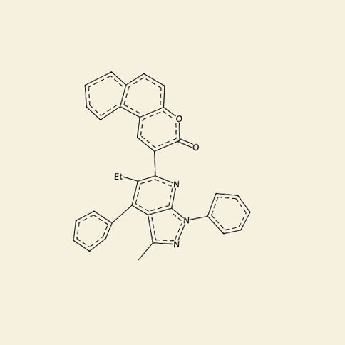 CCc1c(-c2cc3c(ccc4ccccc43)oc2=O)nc2c(c(C)nn2-c2ccccc2)c1-c1ccccc1